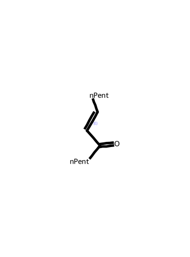 CCCCC/C=C/C(=O)CCCCC